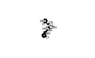 CC(C)(C)C[C@H](NC(O)c1cc2cccc(Cl)c2[nH]1)C(=O)N[C@H](C#N)C[C@@H]1CCCNC1=O